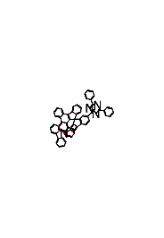 c1ccc(-c2nc(-c3ccccc3)nc(-c3ccc4c(c3)C3(c5cc(-n6c7ccccc7c7ccccc76)ccc5-4)c4ccccc4-c4c3c3c5ccccc5ccc3c3ccccc43)n2)cc1